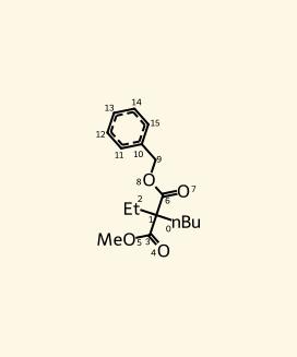 CCCCC(CC)(C(=O)OC)C(=O)OCc1ccccc1